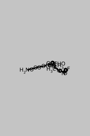 C/C(CCN1CCC(c2noc3cc(F)ccc23)CC1)=C(C)\N=C1\C(OC(=O)NCCOCCOCCOCCOCCN)CCCN1C=O